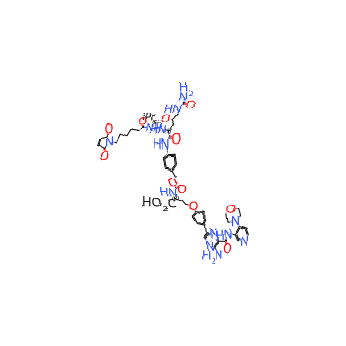 CC(C)[C@H](NC(=O)CCCCCN1C(=O)C=CC1=O)C(=O)N[C@@H](CCCNC(N)=O)C(=O)Nc1ccc(COC(=O)N[C@H](CCOc2ccc(-c3cnc(N)c(C(=O)Nc4cnccc4N4CCOCC4)n3)cc2)C(=O)O)cc1